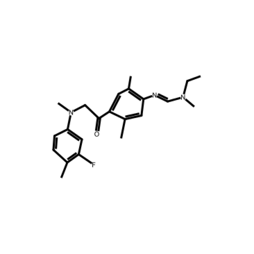 CCN(C)C=Nc1cc(C)c(C(=O)CN(C)c2ccc(C)c(F)c2)cc1C